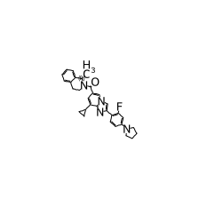 C[C@@H]1c2ccccc2CCN1C(=O)c1cc(C2CC2)c2nc(-c3ccc(N4CCCC4)cc3F)cn2c1